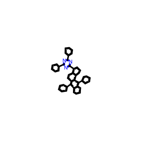 c1ccc(-c2nc(-c3ccccc3)nc(-c3cccc4c3ccc3c(-c5ccccc5)c5ccccc5c(-c5ccccc5)c34)n2)cc1